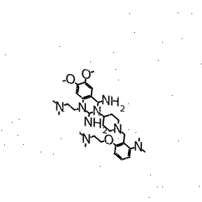 COc1cc2c(cc1OC)N(CCN(C)C)C(N)N(C1CCN(Cc3c(OCCN(C)C)cccc3N(C)C)CC1)C2N